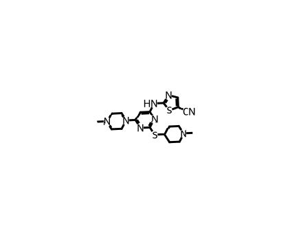 CN1CCC(Sc2nc(Nc3ncc(C#N)s3)cc(N3CCN(C)CC3)n2)CC1